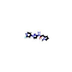 Cn1cccc1CC(=O)Nc1ccn(-c2ccnc(F)c2)n1